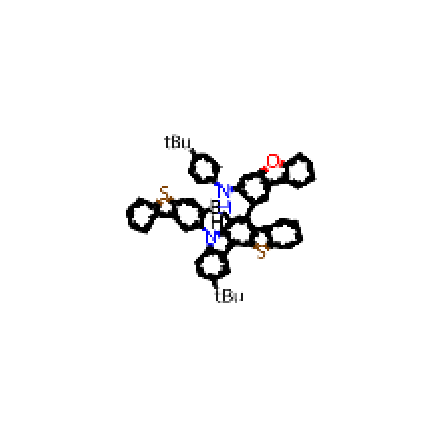 CC(C)(C)c1ccc(Nc2cc3oc4ccccc4c3cc2-c2c3c4c(c5cc(C(C)(C)C)ccc5n4-c4cc5c(cc4B3)sc3ccccc35)c3sc4ccccc4c23)cc1